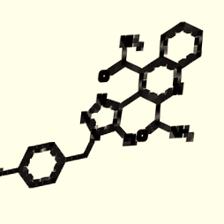 CCc1c(-c2c(C(N)=O)nc3ccccc3c2C(N)=O)nnn1Cc1ccc(F)cc1